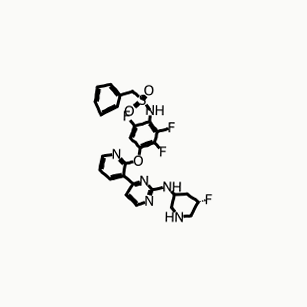 O=S(=O)(Cc1ccccc1)Nc1c(F)cc(Oc2ncccc2-c2ccnc(NC3CNC[C@@H](F)C3)n2)c(F)c1F